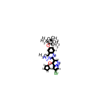 CCc1cc(O[Si](C)(C)C(C)(C)C)ccc1/N=C(\N)c1cnn2cc(Br)cc2c1OC1CCCC1